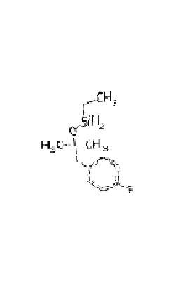 CC[SiH2]OC(C)(C)Cc1ccc(F)cc1